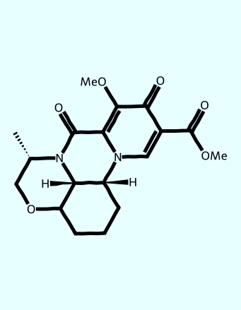 COC(=O)c1cn2c(c(OC)c1=O)C(=O)N1[C@@H](C)COC3CCC[C@@H]2[C@H]31